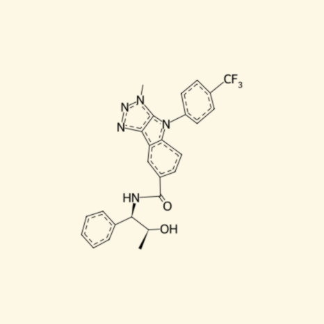 C[C@H](O)[C@H](NC(=O)c1ccc2c(c1)c1nnn(C)c1n2-c1ccc(C(F)(F)F)cc1)c1ccccc1